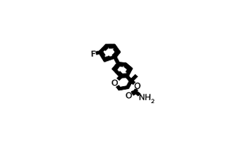 CC1(OC(N)=O)CCOc2cc(-c3cccc(F)c3)ccc21